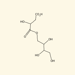 O=C(O)CC(O)C(=O)OCC(O)C(O)CO